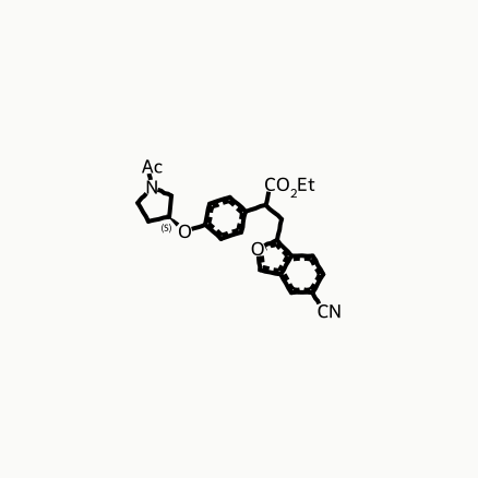 CCOC(=O)C(Cc1occ2cc(C#N)ccc12)c1ccc(O[C@H]2CCN(C(C)=O)C2)cc1